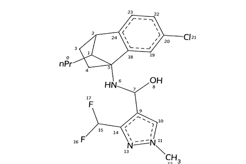 CCCC1C2CCC1(NC(O)c1cn(C)nc1C(F)F)c1cc(Cl)ccc12